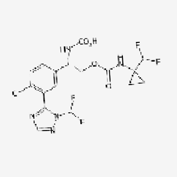 O=C(O)N[C@H](COC(=O)NC1(C(F)F)CC1)c1ccc(Cl)c(-c2ncnn2C(F)F)c1